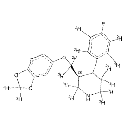 [2H]c1c([2H])c(C2[C@H](C([2H])([2H])Oc3ccc4c(c3)OC([2H])([2H])O4)C([2H])([2H])NC([2H])([2H])C2([2H])[2H])c([2H])c([2H])c1F